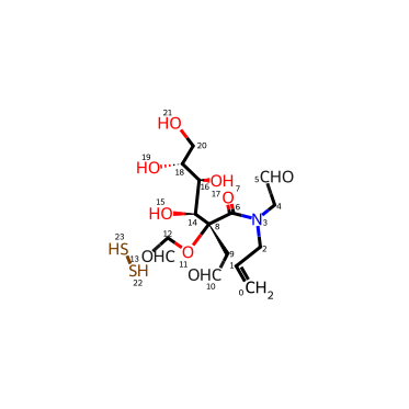 C=CCN(CC=O)C(=O)[C@](CC=O)(OCC=O)[C@@H](O)[C@H](O)[C@H](O)CO.SS